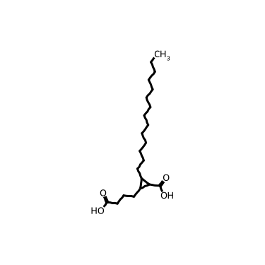 CCCCCCCCCCCCCCC1C(CCCC(=O)O)C1C(=O)O